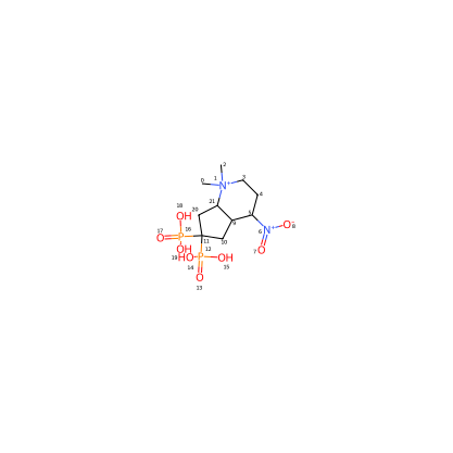 C[N+]1(C)CCC([N+](=O)[O-])C2CC(P(=O)(O)O)(P(=O)(O)O)CC21